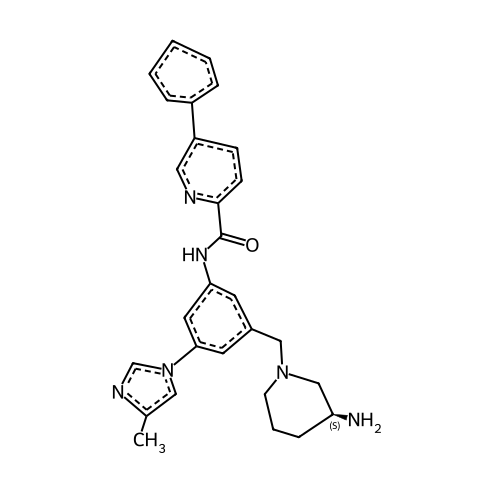 Cc1cn(-c2cc(CN3CCC[C@H](N)C3)cc(NC(=O)c3ccc(-c4ccccc4)cn3)c2)cn1